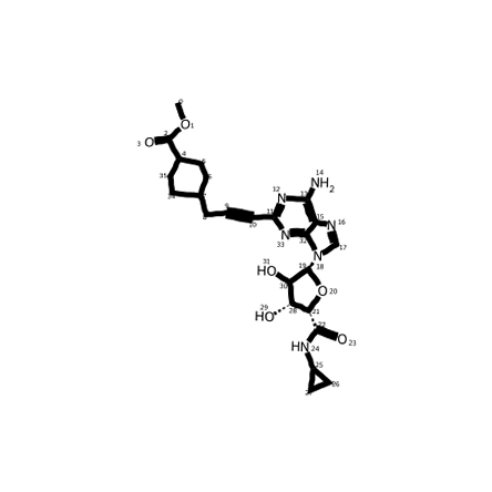 COC(=O)C1CCC(CC#Cc2nc(N)c3ncn([C@@H]4O[C@H](C(=O)NC5CC5)[C@H](O)C4O)c3n2)CC1